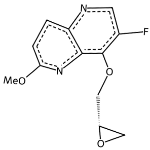 COc1ccc2ncc(F)c(OC[C@@H]3CO3)c2n1